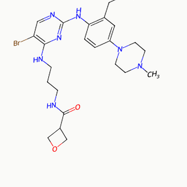 CCc1cc(N2CCN(C)CC2)ccc1Nc1ncc(Br)c(NCCCNC(=O)C2COC2)n1